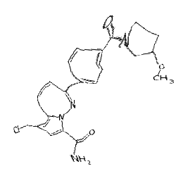 COC1CCN(C(=O)c2ccc(-c3ccc4c(Cl)cc(C(N)=O)n4n3)cc2)C1